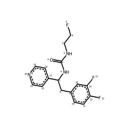 O=C(NCCF)NC(Cc1ccc(F)c(F)c1)c1ccncc1